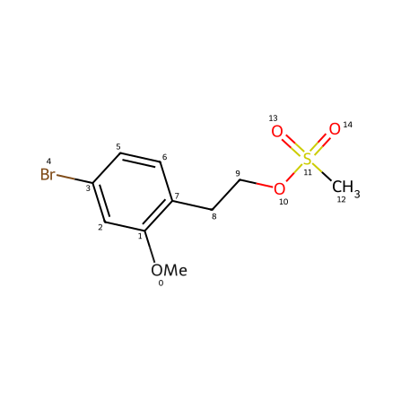 COc1cc(Br)ccc1CCOS(C)(=O)=O